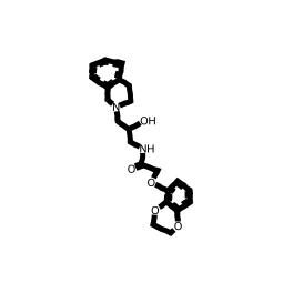 O=C(COc1cccc2c1OCCO2)NCC(O)CN1CCc2ccccc2C1